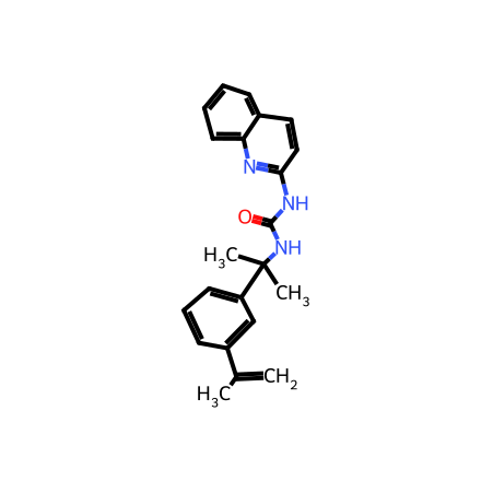 C=C(C)c1cccc(C(C)(C)NC(=O)Nc2ccc3ccccc3n2)c1